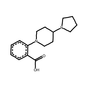 O=C(O)c1ccccc1N1CCC(N2CCCC2)CC1